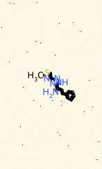 Cc1nc(-c2n[nH]c([C@H](N)CCc3ccccc3)n2)cs1